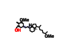 C=C1[C@H](CO)C/C(=C/C=C2\CCC[C@]3(C)C(C(C)CCCC(C)OC)CC[C@@H]23)C[C@H]1OC